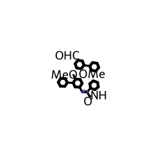 COc1ccc(/C=C2/C(=O)Nc3ccccc32)cc1-c1ccccc1.COc1ccc(C=O)cc1-c1ccccc1